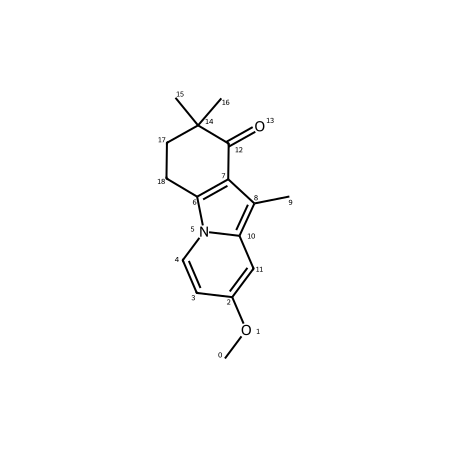 COc1ccn2c3c(c(C)c2c1)C(=O)C(C)(C)CC3